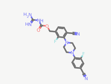 N#Cc1ccc(N2CCN(c3c(C#N)ccc(COC(=O)NC(=N)N)c3F)CC2)c(F)c1